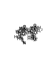 CCc1ccccc1Nc1c(C(N)=O)cnc2cc(OC)c(OCC(O)CN3CCCC3O)cc12.CCc1ccccc1Nc1c(C(N)=O)cnc2cc(OC)c(OCC(O)CNCCC#N)cc12